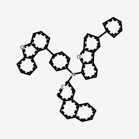 c1ccc(-c2ccc3oc4c(N(c5ccc(-c6cccc7oc8ccccc8c67)cc5)c5ccc6ccc7ccccc7c6c5)cccc4c3c2)cc1